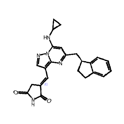 O=C1C/C(=C\c2cnn3c(NC4CC4)cc(CC4CCc5ccccc54)nc23)C(=O)N1